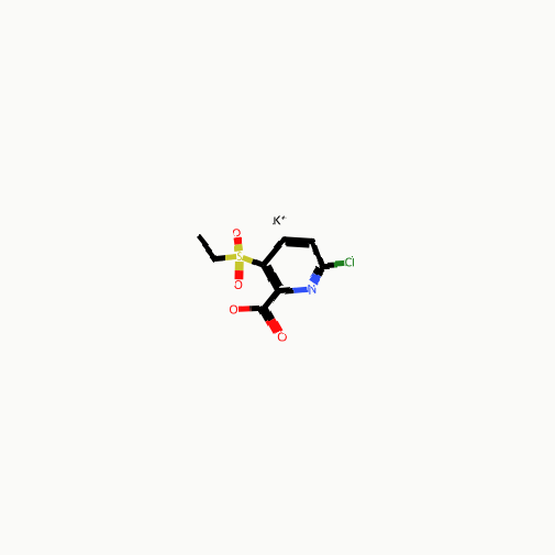 CCS(=O)(=O)c1ccc(Cl)nc1C(=O)[O-].[K+]